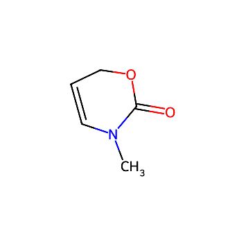 CN1C=CCOC1=O